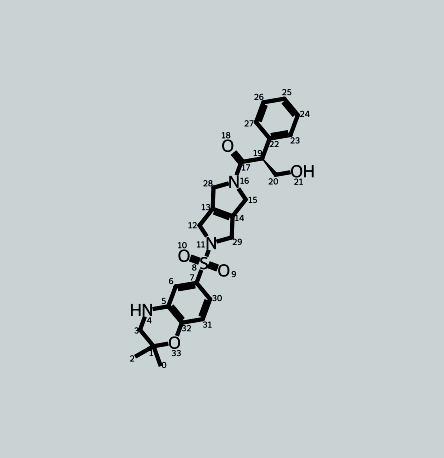 CC1(C)CNc2cc(S(=O)(=O)N3CC4=C(CN(C(=O)[C@H](CO)c5ccccc5)C4)C3)ccc2O1